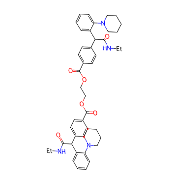 CCNC(=O)C(c1ccc(C(=O)OCCOC(=O)c2ccc(C(C(=O)NCC)c3ccccc3N3CCCCC3)cc2)cc1)c1ccccc1N1CCCCC1